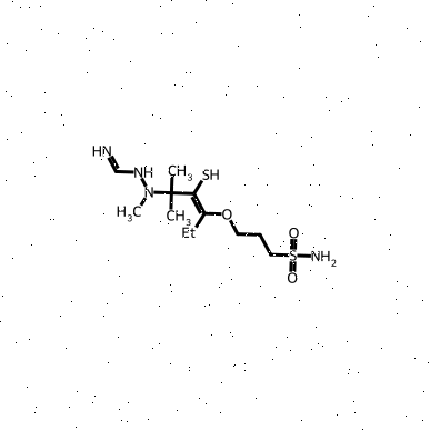 CC/C(OCCCS(N)(=O)=O)=C(/S)C(C)(C)N(C)NC=N